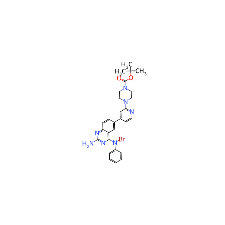 CC(C)(C)OC(=O)N1CCN(c2cc(-c3ccc4nc(N)nc(N(Br)c5ccccc5)c4c3)ccn2)CC1